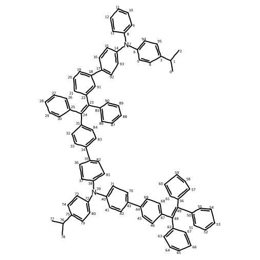 CC(C)c1ccc(N(c2ccccc2)c2ccc(-c3cccc(/C(=C(\c4ccccc4)c4ccc(-c5ccc(N(c6ccc(-c7ccc(C(=C(c8ccccc8)c8ccccc8)c8ccccc8)cc7)cc6)c6ccc(C(C)C)cc6)cc5)cc4)c4ccccc4)c3)cc2)cc1